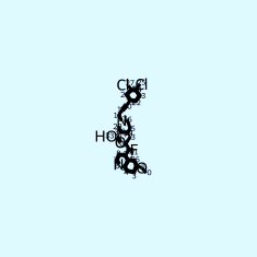 COc1ccc2nccc([C@@H](F)CC[C@@H]3CCN(CC#Cc4ccc(Cl)c(Cl)c4)C[C@@H]3C(=O)O)c2c1